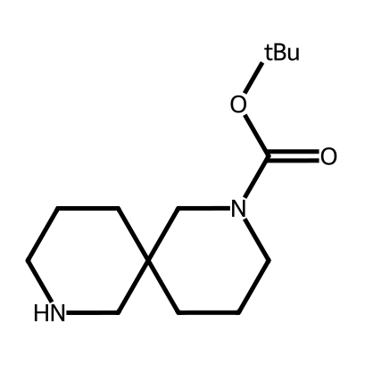 CC(C)(C)OC(=O)N1CCCC2(CCCNC2)C1